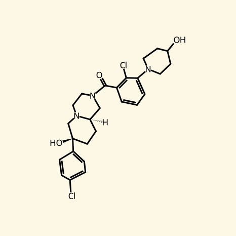 O=C(c1cccc(N2CCC(O)CC2)c1Cl)N1CCN2C[C@@](O)(c3ccc(Cl)cc3)CC[C@@H]2C1